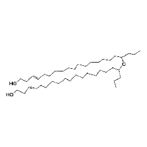 CCCC(CCCCCCCCCCCCCC=CCCO)OC(CCC)CCCCCCCCCCCCCC=CCCO